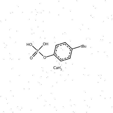 CC(C)(C)c1ccc(OP(=O)(O)O)cc1.[CaH2]